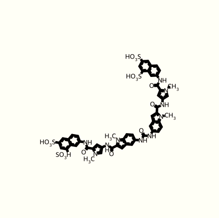 Cn1cc(NC(=O)c2cc3cc(NC(=O)Nc4ccc5c(c4)cc(C(=O)Nc4cc(C(=O)Nc6ccc7cc(S(=O)(=O)O)cc(S(=O)(=O)O)c7c6)n(C)c4)n5C)ccc3n2C)cc1C(=O)Nc1ccc2cc(S(=O)(=O)O)cc(S(=O)(=O)O)c2c1